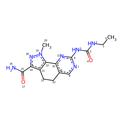 CCNC(=O)Nc1ncc2c(n1)-c1c(c(C(N)=O)nn1C)CC2